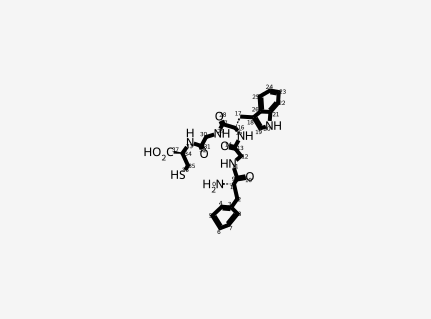 N[C@@H](Cc1ccccc1)C(=O)NCC(=O)N[C@@H](Cc1c[nH]c2ccccc12)C(=O)NCC(=O)N[C@@H](CS)C(=O)O